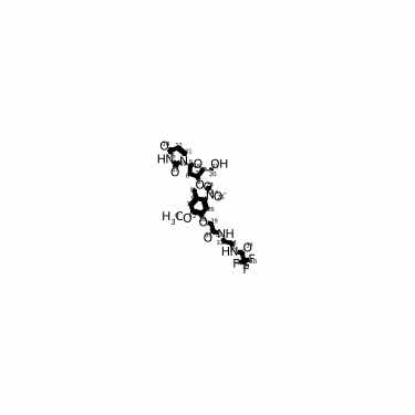 COc1cc(COC2C[C@H](n3ccc(=O)[nH]c3=O)O[C@@H]2CO)c([N+](=O)[O-])cc1OCC(=O)NCCNC(=O)C(F)(F)F